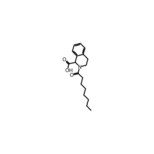 CCCCCCCC(=O)N1CCc2ccccc2C1C(=O)O